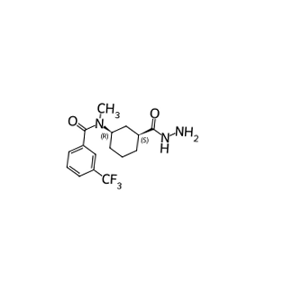 CN(C(=O)c1cccc(C(F)(F)F)c1)[C@@H]1CCC[C@H](C(=O)NN)C1